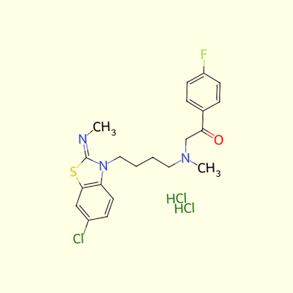 CN=c1sc2cc(Cl)ccc2n1CCCCN(C)CC(=O)c1ccc(F)cc1.Cl.Cl